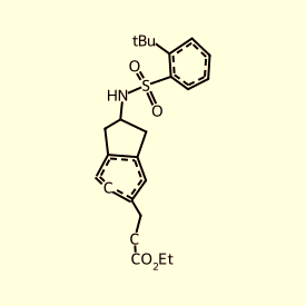 CCOC(=O)CCc1ccc2c(c1)CC(NS(=O)(=O)c1ccccc1C(C)(C)C)C2